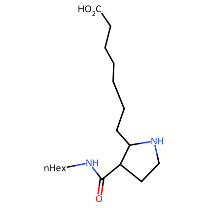 CCCCCCNC(=O)C1CCNC1CCCCCCC(=O)O